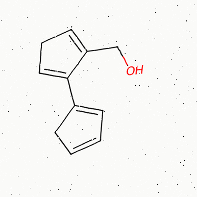 OCC1=[C]CC=C1C1=CC=CC1